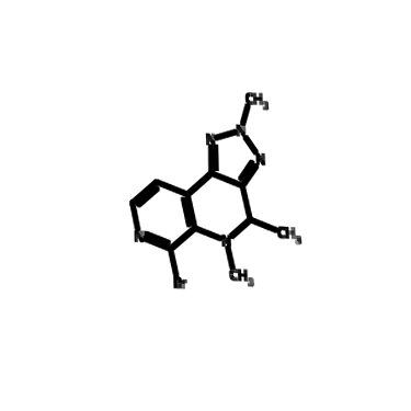 CC1c2nn(C)nc2-c2ccnc(Br)c2N1C